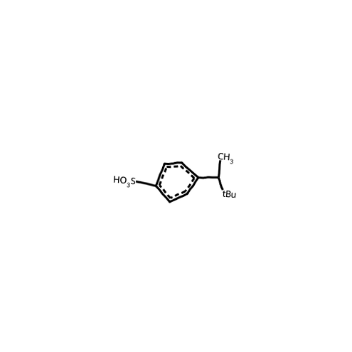 CC(c1ccc(S(=O)(=O)O)cc1)C(C)(C)C